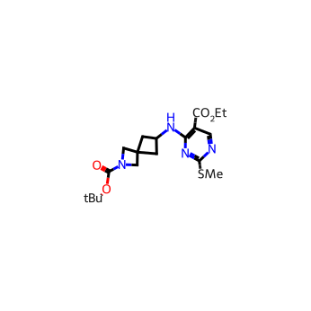 CCOC(=O)c1cnc(SC)nc1NC1CC2(C1)CN(C(=O)OC(C)(C)C)C2